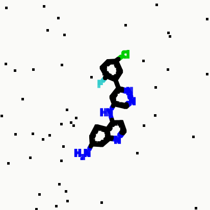 Nc1ccc2c(Nc3cnnc(-c4cc(Cl)ccc4F)c3)ccnc2c1